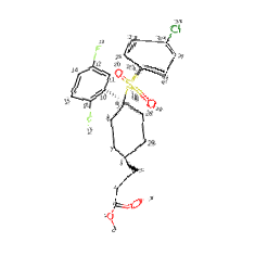 COC(=O)CC[C@H]1CC[C@@](c2cc(F)ccc2F)(S(=O)(=O)c2ccc(Cl)cc2)CC1